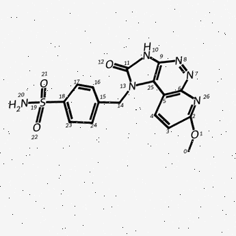 COc1ccc2c(nnc3[nH]c(=O)n(Cc4ccc(S(N)(=O)=O)cc4)c32)n1